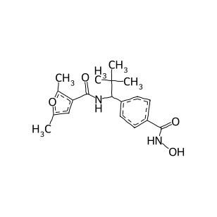 Cc1cc(C(=O)NC(c2ccc(C(=O)NO)cc2)C(C)(C)C)c(C)o1